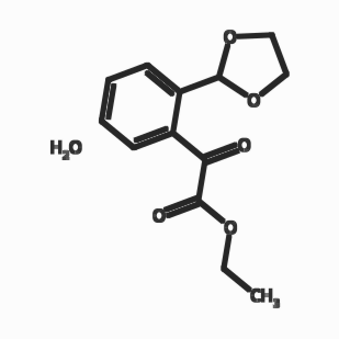 CCOC(=O)C(=O)c1ccccc1C1OCCO1.O